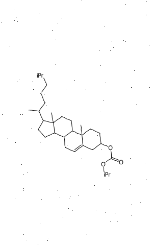 CC(C)CCCC(C)C1CCC2C3CC=C4CC(OC(=O)OC(C)C)CCC4(C)C3CCC12C